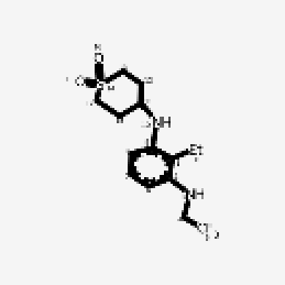 CCc1c(NCC(F)(F)F)cccc1NC1CCS(=O)(=O)CC1